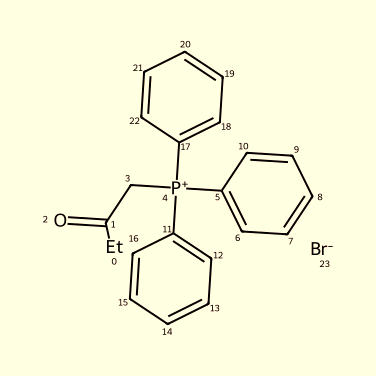 CCC(=O)C[P+](c1ccccc1)(c1ccccc1)c1ccccc1.[Br-]